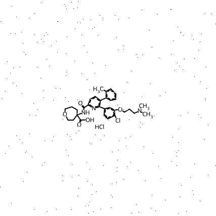 Cc1ccccc1-c1ccc(C(=O)NC2(C(=O)O)CCCOCC2)nc1-c1ccc(Cl)c(OCCCN(C)C)c1.Cl